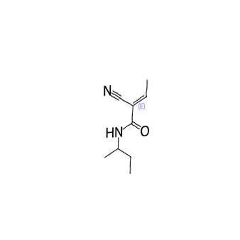 C/C=C(\C#N)C(=O)NC(C)CC